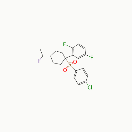 CC(I)C1CCC(c2cc(F)ccc2F)(S(=O)(=O)c2ccc(Cl)cc2)CC1